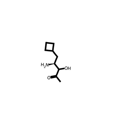 CC(=O)C(O)[C@@H](N)CC1CCC1